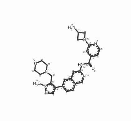 Cn1ncc(-c2ccc3cnc(NC(=O)c4ccnc(N5CC(N)C5)c4)cc3c2)c1CN1CCOCC1